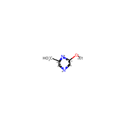 CCOc1cncc(C(=O)O)n1